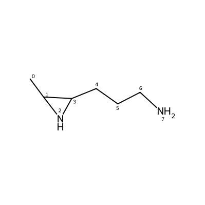 CC1NC1CCCN